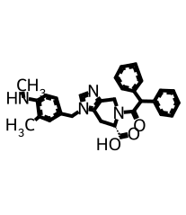 CNc1ccc(Cn2cnc3c2C[C@@H](C(=O)O)N(C(=O)C(c2ccccc2)c2ccccc2)C3)cc1C